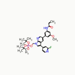 C=CC(=O)Nc1cc(OC)cc(-c2cnc3c(c2)c(-c2ccnc(F)c2)cn3COP(=O)(OC(C)(C)C)OC(C)(C)C)c1